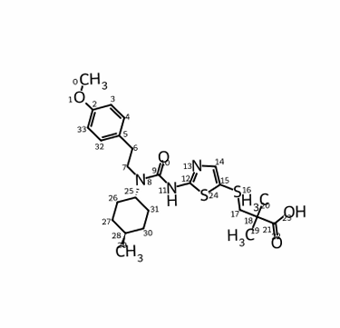 COc1ccc(CCN(C(=O)Nc2ncc(SCC(C)(C)C(=O)O)s2)[C@H]2CC[C@H](C)CC2)cc1